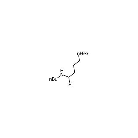 CCCCCCCCCC(CC)NCCCC